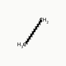 C=CCCCCCCC=CCCCCCCCCCCC